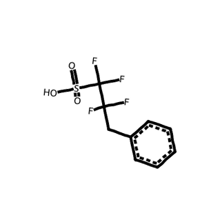 O=S(=O)(O)C(F)(F)C(F)(F)Cc1ccccc1